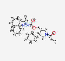 C=CC(=O)N1C[C@H](COC(=O)N[C@H](C)c2cccc3ccccc23)[C@@H](c2ccccc2)C1